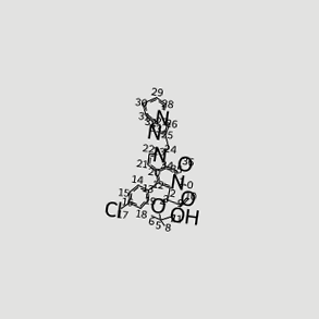 Cn1c(C(OC(C)(C)C)C(=O)O)c(-c2ccc(Cl)cc2)c2ccn(Cc3cn4ccccc4n3)c2c1=O